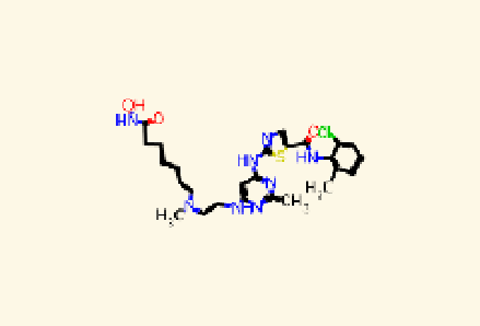 Cc1nc(NCCN(C)CCCCCCC(=O)NO)cc(Nc2ncc(C(=O)Nc3c(C)cccc3Cl)s2)n1